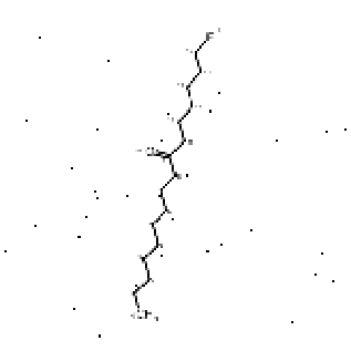 CCCCCCCCCC(=O)CCCCCCF